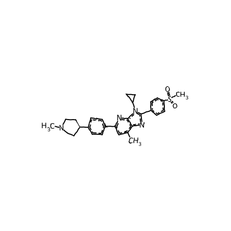 Cc1cc(-c2ccc(C3CCN(C)CC3)cc2)nc2c1nc(-c1ccc(S(C)(=O)=O)cc1)n2C1CC1